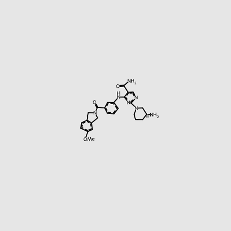 COc1ccc2c(c1)CN(C(=O)c1cccc(Nc3nc(N4CCC[C@H](N)C4)ncc3C(N)=O)c1)C2